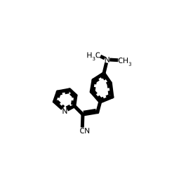 CN(C)c1ccc(C=C(C#N)c2ccccn2)cc1